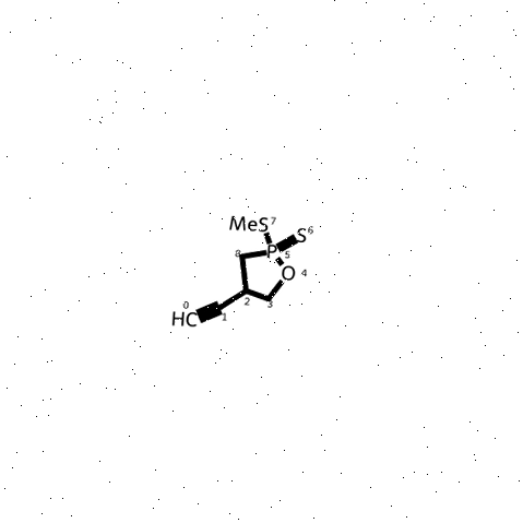 C#CC1COP(=S)(SC)C1